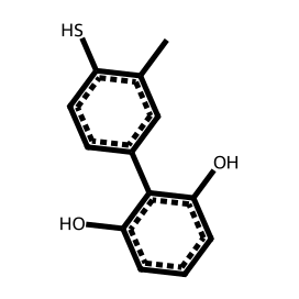 Cc1cc(-c2c(O)cccc2O)ccc1S